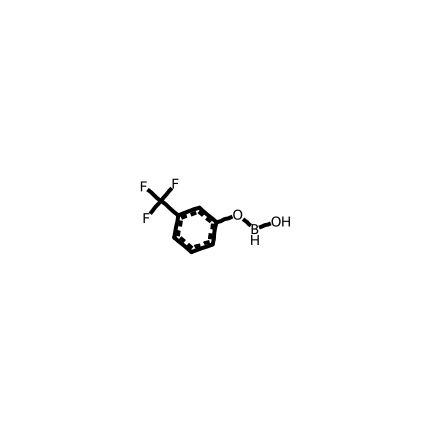 OBOc1cccc(C(F)(F)F)c1